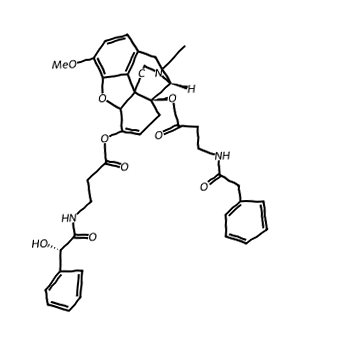 COc1ccc2c3c1OC1C(OC(=O)CCNC(=O)[C@@H](O)c4ccccc4)=CC[C@@]4(OC(=O)CCNC(=O)Cc5ccccc5)[C@@H](C2)N(C)CCC314